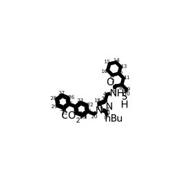 CCCCc1nc(CNC(=O)C(CS)CC2CCCCC2)cn1Cc1ccc(-c2ccccc2C(=O)O)cc1